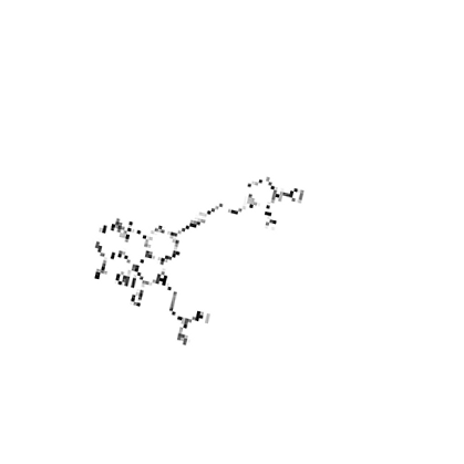 CCN(CC)CCN1C(=O)C(O)(c2ccccc2Cl)c2c1cc(C#CCCN1CCN(C)C1=O)cc2C(F)(F)F